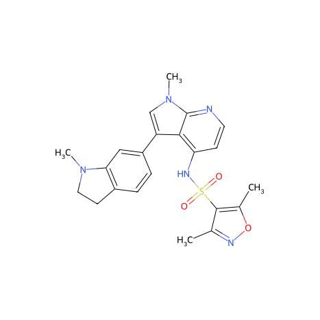 Cc1noc(C)c1S(=O)(=O)Nc1ccnc2c1c(-c1ccc3c(c1)N(C)CC3)cn2C